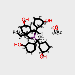 CC(=O)[O-].CC(=O)[O-].CCC(C1CCCC(O)C1)(C1CCCC(O)C1)P(CC[CH2][Pd+2])C(CC)(C1CCCC(O)C1)C1CCCC(O)C1